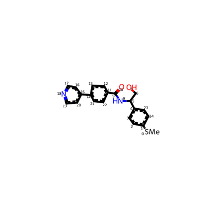 CSc1ccc(C(CO)NC(=O)c2ccc(-c3ccncc3)cc2)cc1